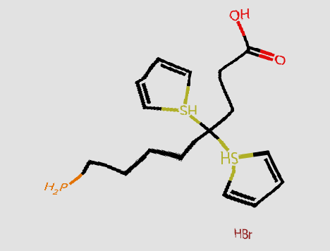 Br.O=C(O)CCC(CCCCP)([SH]1C=CC=C1)[SH]1C=CC=C1